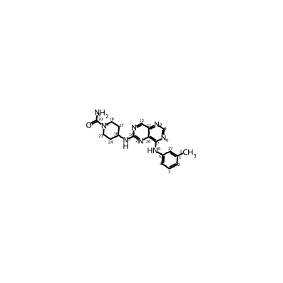 Cc1cccc(Nc2ncnc3cnc(NC4CCN(C(N)=O)CC4)nc23)c1